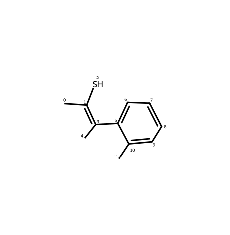 C/C(S)=C(\C)c1ccccc1C